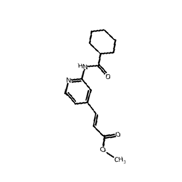 COC(=O)C=Cc1ccnc(NC(=O)C2CCCCC2)c1